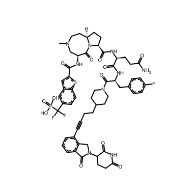 CN1CC[C@H]2CC[C@@H](C(=O)N[C@@H](CCC(N)=O)C(=O)N[C@@H](Cc3ccc(F)cc3)C(=O)N3CCC(CCC#Cc4cccc5c4CN(C4CCC(=O)NC4=O)C5=O)CC3)N2C(=O)[C@@H](NC(=O)c2cc3cc(C(F)(F)P(=O)(O)O)ccc3s2)C1